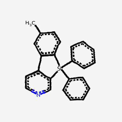 Cc1ccc2c(c1)-c1ccncc1[Si]2(c1ccccc1)c1ccccc1